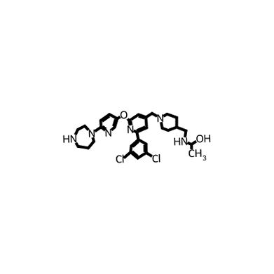 CC(O)NCC1CCN(Cc2cc(Oc3ccc(N4CCCNCC4)nc3)nc(-c3cc(Cl)cc(Cl)c3)c2)CC1